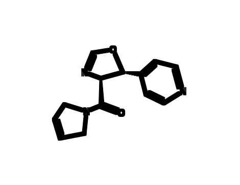 O=C([C@H]1N=CO[C@@H]1c1ccncc1)N1CC=CC1